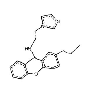 CCCc1ccc2c(c1)C(NCCn1ccnc1)c1ccccc1O2